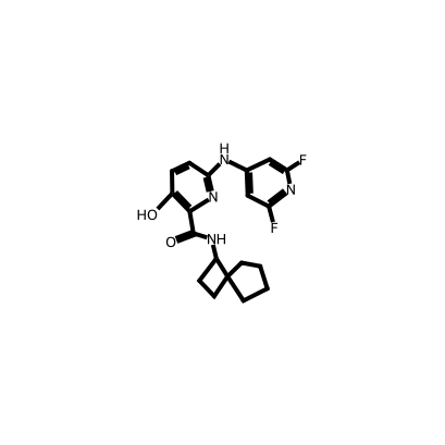 O=C(NC1CCC12CCCC2)c1nc(Nc2cc(F)nc(F)c2)ccc1O